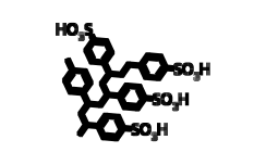 Cc1ccc(C(CC(C)c2ccc(S(=O)(=O)O)cc2)CC(CC(CCc2ccc(S(=O)(=O)O)cc2)c2ccc(S(=O)(=O)O)cc2)c2ccc(S(=O)(=O)O)cc2)cc1